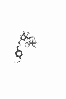 C=C[C@@]1(C)C(=O)O[C@H](COCc2ccc(OC)cc2)[C@H]1O[Si](C)(C)C(C)(C)C